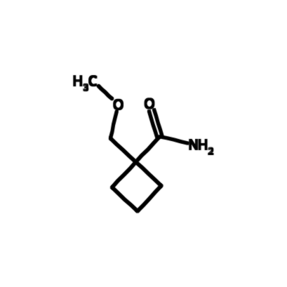 COCC1(C(N)=O)CCC1